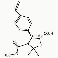 C=Cc1ccc([C@H]2[C@H](C(=O)O)OC(C)(C)N2C(=O)OC(C)(C)C)cc1